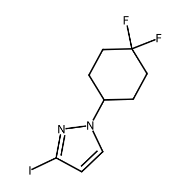 FC1(F)CCC(n2ccc(I)n2)CC1